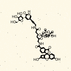 O=C(CCCC(CNC(=O)c1ccc2c(c1)C(=O)OC21c2ccc(O)cc2Oc2cc(O)ccc21)OP(=O)(O)OP(=O)(O)OP(=O)(O)O)NCC#Cc1c[nH]c(=O)c([C@@H]2O[C@H](CO)[C@@H](O)[C@H]2O)c1